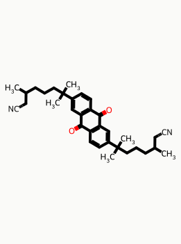 CC(CC#N)CCCC(C)(C)c1ccc2c(c1)C(=O)c1ccc(C(C)(C)CCCC(C)CC#N)cc1C2=O